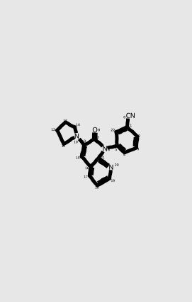 N#Cc1cccc(-n2c(=O)c(N3CCCC3)cc3cccnc32)c1